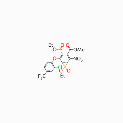 CCO[P](=O)c1c(Oc2ccc(C(F)(F)F)cc2Cl)c2c(c([N+](=O)[O-])c1C(=O)OC)P2(=O)OCC